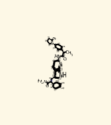 CC(C(=O)Nc1ccc2c(/C=C(/C(N)=O)c3ccccc3)c[nH]c2n1)c1ccc(N2CCCC2=O)cc1